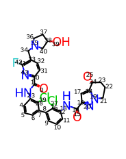 O=C(Nc1cccc(-c2cccc(NC(=O)c3cc4n(n3)CCCC4=O)c2Cl)c1Cl)c1ccc(CN2CC[C@@H](O)C2)c(F)n1